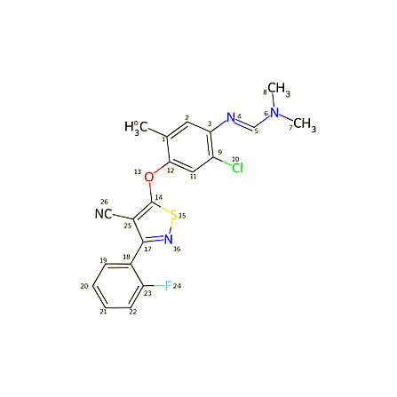 Cc1cc(N=CN(C)C)c(Cl)cc1Oc1snc(-c2ccccc2F)c1C#N